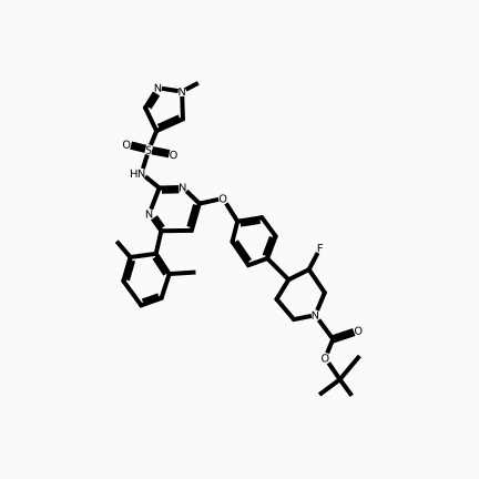 Cc1cccc(C)c1-c1cc(Oc2ccc(C3CCN(C(=O)OC(C)(C)C)CC3F)cc2)nc(NS(=O)(=O)c2cnn(C)c2)n1